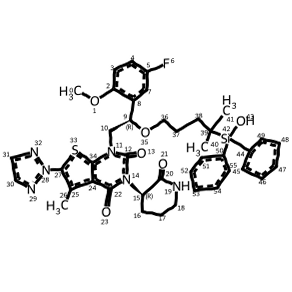 COc1ccc(F)cc1[C@H](Cn1c(=O)n([C@@H]2CCCNC2=O)c(=O)c2c(C)c(-n3nccn3)sc21)OCCCC(C)(C)[Si](O)(c1ccccc1)c1ccccc1